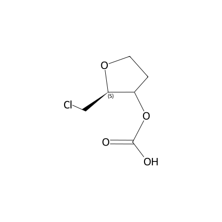 O=C(O)OC1CCO[C@@H]1CCl